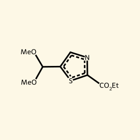 CCOC(=O)c1ncc(C(OC)OC)s1